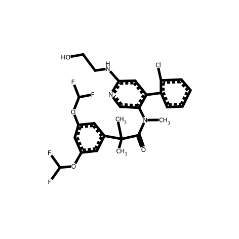 CN(C(=O)C(C)(C)c1cc(OC(F)F)cc(OC(F)F)c1)c1cnc(NCCO)cc1-c1ccccc1Cl